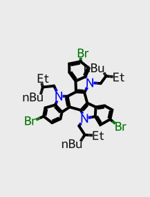 CCCCC(CC)Cn1c2cc(Br)ccc2c2c1c1c3ccc(Br)cc3n(CC(CC)CCCC)c1c1c3ccc(Br)cc3n(CC(CC)CCCC)c21